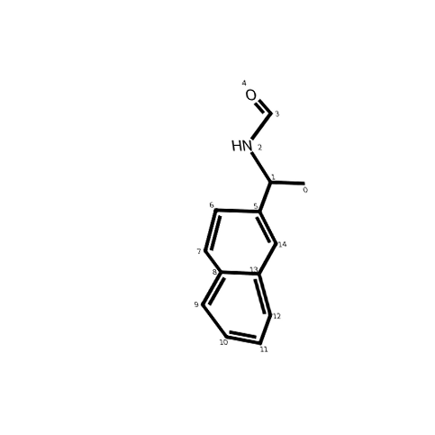 CC(NC=O)c1ccc2ccccc2c1